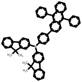 CC1(C)c2ccccc2-c2ccc(N(c3ccc(-c4ccc5c(-c6ccccc6)c6ccccc6c(-c6ccccc6)c5c4)cc3)c3ccc4c(c3)C(C)(C)c3ccccc3-4)cc21